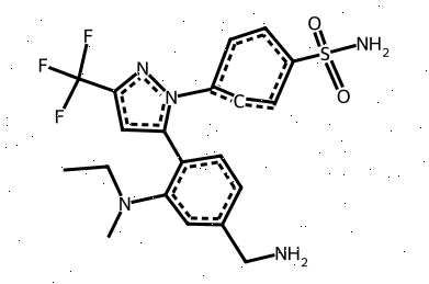 CCN(C)c1cc(CN)ccc1-c1cc(C(F)(F)F)nn1-c1ccc(S(N)(=O)=O)cc1